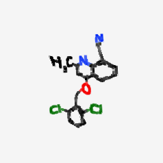 Cc1cc(OCc2c(Cl)cccc2Cl)c2cccc(C#N)c2n1